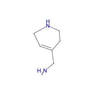 NCC1=CCNCC1